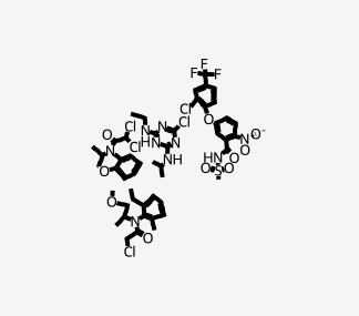 CC1COc2ccccc2N1C(=O)C(Cl)Cl.CCNc1nc(Cl)nc(NC(C)C)n1.CCc1cccc(C)c1N(C(=O)CCl)C(C)COC.CS(=O)(=O)NC(=O)c1cc(Oc2ccc(C(F)(F)F)cc2Cl)ccc1[N+](=O)[O-]